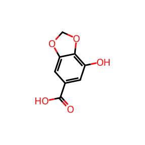 O=C(O)c1cc(O)c2c(c1)OCO2